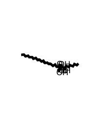 CCCCCCCCC=CCC=CCC=CCCCC(=O)C(O)(CO)C(O)C(=O)CCCCCCC